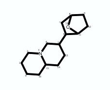 C1CCN2CC(C3CC4CCC3O4)CCC2C1